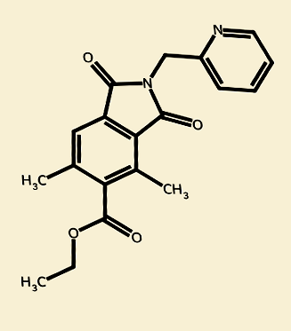 CCOC(=O)c1c(C)cc2c(c1C)C(=O)N(Cc1ccccn1)C2=O